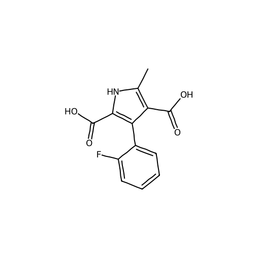 Cc1[nH]c(C(=O)O)c(-c2ccccc2F)c1C(=O)O